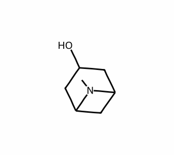 CN1C2CC(O)CC1C2